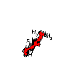 CC1(C)CCC(CN2CCN(c3ccc(C(=O)NS(=O)(=O)c4ccc(N[C@H](CCN5CCC(C(=O)NCCCCNc6cccc7c6C(=O)N(C6CCC(=O)NC6=O)C7=O)CC5)CSc5ccccc5)c(S(=O)(=O)C(F)(F)F)c4)cc3)CC2)=C(C23CC(C)(C2)C3)C1